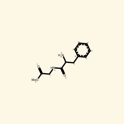 COC(=O)CNC(=O)C(N)Cc1ccccc1